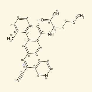 CSCC[C@H](NC(=O)c1ccc(/C=C(/C#N)c2cccnc2)cc1-c1ccccc1C)C(=O)O